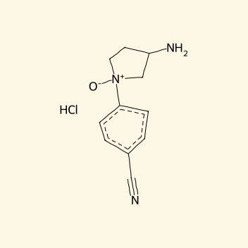 Cl.N#Cc1ccc([N+]2([O-])CCC(N)C2)cc1